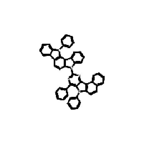 c1ccc(-c2nc(-n3c4ccccc4c4c3ccc3c5ccccc5n(-c5ccccc5)c34)nc3c4c5ccccc5ccc4n(-c4ccccc4)c23)cc1